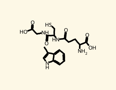 Cc1c[nH]c2ccccc12.NC(CCC(=O)NC(CS)C(=O)NCC(=O)O)C(=O)O